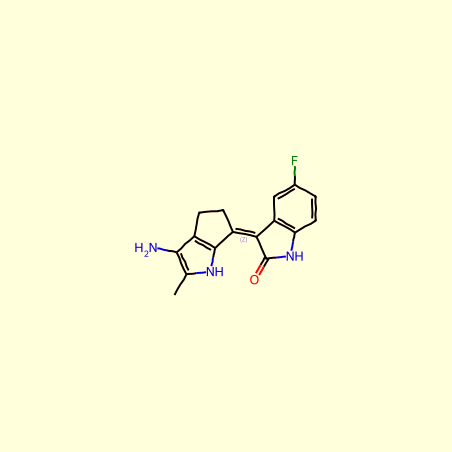 Cc1[nH]c2c(c1N)CC/C2=C1/C(=O)Nc2ccc(F)cc21